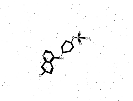 CS(=O)(=O)O[C@H]1CC[C@H](Nc2ccnc3cc(Cl)ccc23)CC1